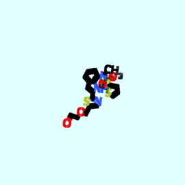 CN(c1cccc2cc(-c3ncc(COCC=O)s3)[nH]c12)S(=O)(=O)c1cccs1